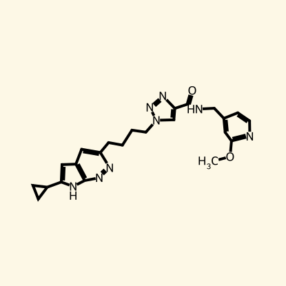 COc1cc(CNC(=O)c2cn(CCCCc3cc4cc(C5CC5)[nH]c4nn3)nn2)ccn1